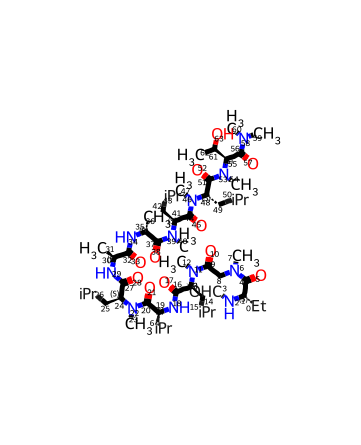 CC[C@H](NC=O)C(=O)N(C)CC(=O)N(C)[C@@H](CC(C)C)C(=O)N[C@H](C(=O)N(C)[C@@H](CC(C)C)C(=O)N[C@@H](C)C(=O)N[C@H](C)C(=O)N(C)[C@@H](CC(C)C)C(=O)N(C)[C@@H](CC(C)C)C(=O)N(C)[C@H](C(=O)N(C)C)C(C)O)C(C)C